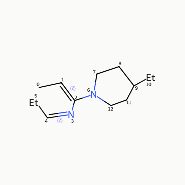 C/C=C(\N=C/CC)N1CCC(CC)CC1